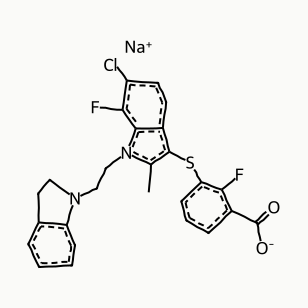 Cc1c(Sc2cccc(C(=O)[O-])c2F)c2ccc(Cl)c(F)c2n1CCN1CCc2ccccc21.[Na+]